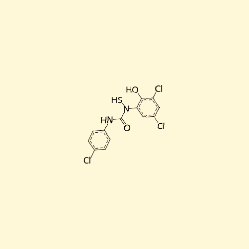 O=C(Nc1ccc(Cl)cc1)N(S)c1cc(Cl)cc(Cl)c1O